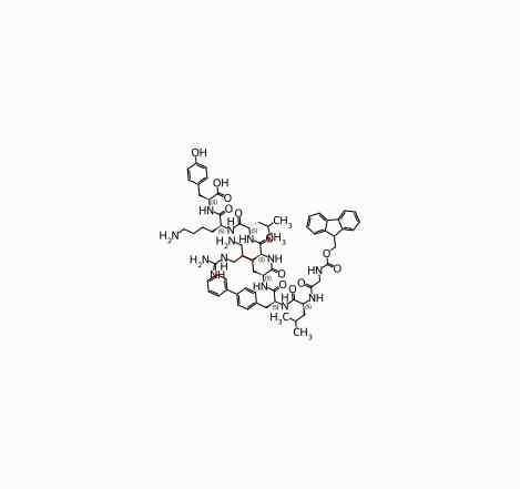 CC(C)C[C@H](NC(=O)CNC(=O)OCC1c2ccccc2-c2ccccc21)C(=O)N[C@@H](Cc1ccc(-c2ccccc2)cc1)C(=O)N[C@@H](CCCCN)C(=O)N[C@@H](CCCNC(=N)N)C(=O)N[C@@H](CC(C)C)C(=O)N[C@@H](CCCCN)C(=O)N[C@@H](Cc1ccc(O)cc1)C(=O)O